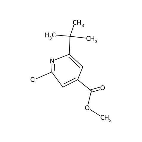 COC(=O)c1cc(Cl)nc(C(C)(C)C)c1